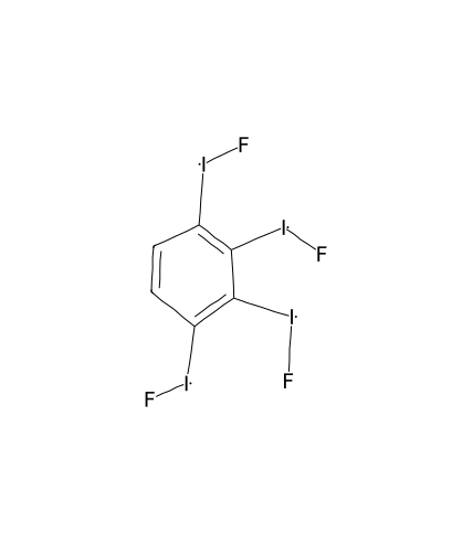 F[I]c1ccc([I]F)c([I]F)c1[I]F